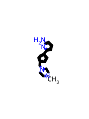 CN1CCN(Cc2ccc(-c3cccc(N)n3)cc2)CC1